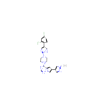 Cn1cc(-c2cc3c(N4CCN(c5ncc(-c6ccc(F)cc6F)cn5)CC4)ncnn3c2)cn1